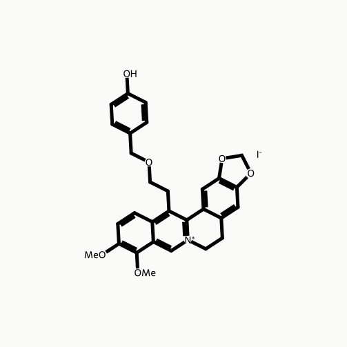 COc1ccc2c(CCOCc3ccc(O)cc3)c3[n+](cc2c1OC)CCc1cc2c(cc1-3)OCO2.[I-]